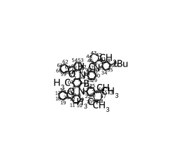 Cc1cc2c3c(c1)N(c1cccc4c1oc1ccccc14)c1cc4c(cc1B3c1ccc(N3c5ccc(C(C)(C)C)cc5C5(C)CCCCC35C)cc1N2c1cccc2c1oc1ccccc12)C(C)(C)CCC4(C)C